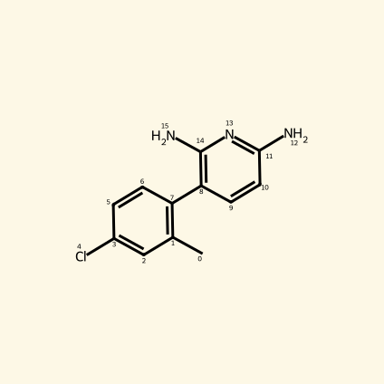 Cc1cc(Cl)ccc1-c1ccc(N)nc1N